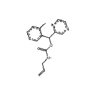 C=CCNC(=O)OC(c1cnccn1)c1ccccc1C